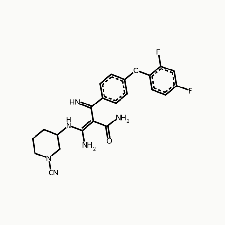 N#CN1CCCC(N/C(N)=C(\C(=N)c2ccc(Oc3ccc(F)cc3F)cc2)C(N)=O)C1